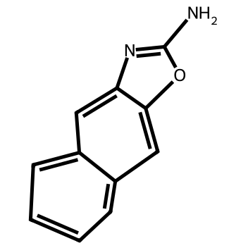 Nc1nc2cc3ccccc3cc2o1